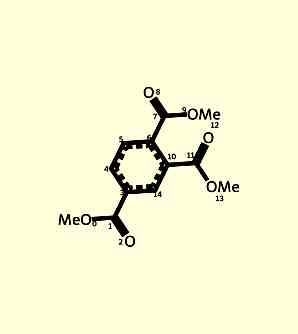 COC(=O)c1ccc(C(=O)OC)c(C(=O)OC)c1